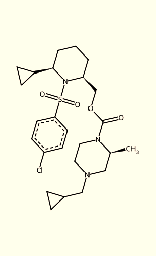 C[C@H]1CN(CC2CC2)CCN1C(=O)OC[C@@H]1CCC[C@H](C2CC2)N1S(=O)(=O)c1ccc(Cl)cc1